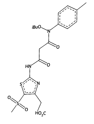 Cc1ccc(N(OCC(C)C)C(=O)CC(=O)Nc2nc(CC(=O)O)c(S(C)(=O)=O)s2)cc1